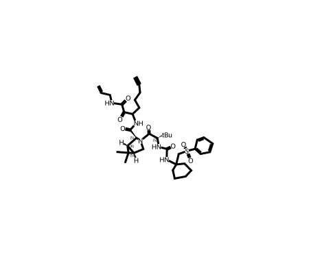 C#CCCCC(NC(=O)[C@@H]1[C@@H]2[C@H](CN1C(=O)[C@@H](NC(=O)NC1(CS(=O)(=O)c3ccccc3)CCCCC1)C(C)(C)C)C2(C)C)C(=O)C(=O)NCC=C